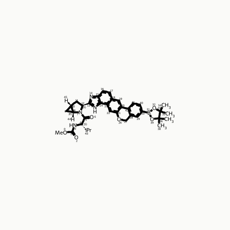 COC(=O)N[C@H](C(=O)N1[C@@H]2C[C@@H]2C[C@H]1c1nc2ccc3cc4c(cc3c2[nH]1)OCc1cc(B2OC(C)(C)C(C)(C)O2)ccc1-4)C(C)C